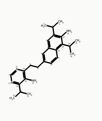 CC(C)c1cc2cc(CCc3ncnc(C(C)C)c3N)ccc2c(C(C)C)c1N